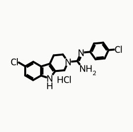 Cl.NC(=Nc1ccc(Cl)cc1)N1CCc2c([nH]c3ccc(Cl)cc23)C1